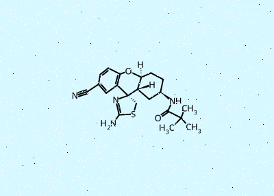 CC(C)(C)C(=O)N[C@@H]1CC[C@@H]2Oc3ccc(C#N)cc3[C@@]3(CSC(N)=N3)[C@H]2C1